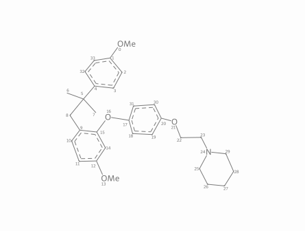 COc1ccc(C(C)(C)Cc2ccc(OC)cc2Oc2ccc(OCCN3CCCCC3)cc2)cc1